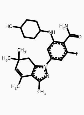 CC1=CC(C)(C)Cc2c1c(C)nn2-c1cc(F)c(C(N)=O)c(NC2CCC(O)CC2)c1